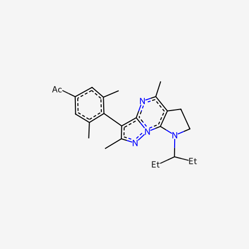 CCC(CC)N1CCc2c(C)nc3c(-c4c(C)cc(C(C)=O)cc4C)c(C)nn3c21